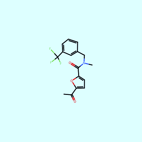 CC(=O)c1ccc(C(=O)N(C)Cc2cccc(C(F)(F)F)c2)o1